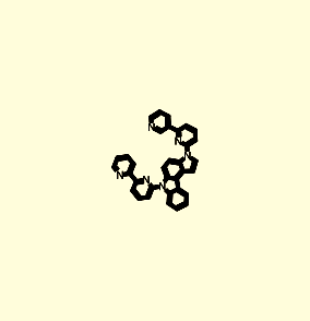 c1ccc(-c2cccc(-n3c4ccccc4c4c5ccn(-c6cccc(-c7cccnc7)n6)c5ccc43)n2)nc1